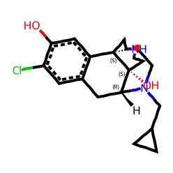 Oc1cc2c(cc1Cl)C[C@H]1N(CC3CC3)CC[C@@]23CCNCC[C@@]13O